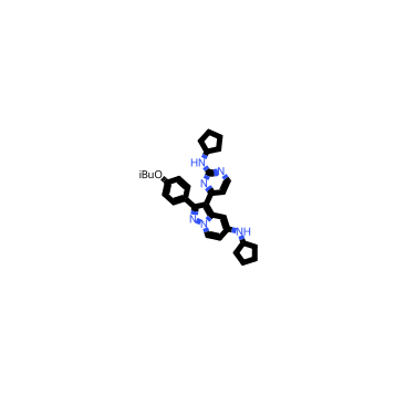 CC(C)COc1ccc(-c2nn3ccc(NC4CCCC4)cc3c2-c2ccnc(NC3CCCC3)n2)cc1